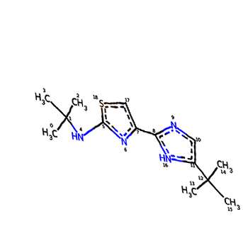 CC(C)(C)Nc1nc(-c2ncc(C(C)(C)C)[nH]2)cs1